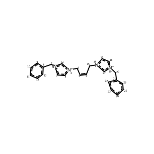 C(=C/C[n+]1ccn(Cc2ccccc2)c1)/Cn1cc[n+](Cc2ccccc2)c1